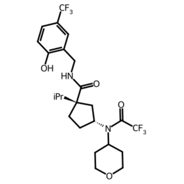 CC(C)[C@]1(C(=O)NCc2cc(C(F)(F)F)ccc2O)CC[C@@H](N(C(=O)C(F)(F)F)C2CCOCC2)C1